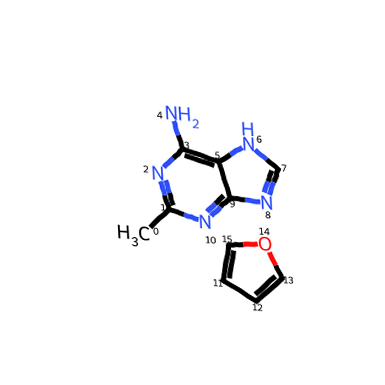 Cc1nc(N)c2[nH]cnc2n1.c1ccoc1